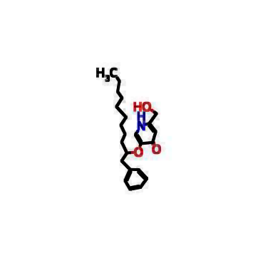 CCCCCCCCCC(Cc1ccccc1)Oc1c[nH]c(CO)cc1=O